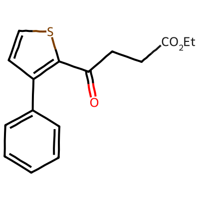 CCOC(=O)CCC(=O)c1sccc1-c1ccccc1